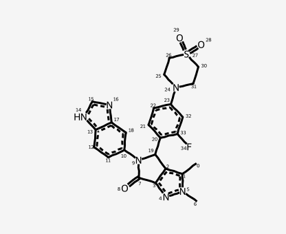 Cc1c2c(nn1C)C(=O)N(c1ccc3[nH]cnc3c1)C2c1ccc(N2CCS(=O)(=O)CC2)cc1F